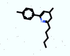 CCCCCC1=NC(c2ccc(C)cc2)=CC(C)C1